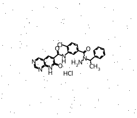 CC(c1ccccc1)N(N)C(=O)c1ccc(Cl)c(NC(=O)c2cc3cncnc3[nH]c2=O)c1.Cl